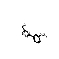 O=[N+]([O-])c1cccc(-c2nnc(CCl)o2)c1